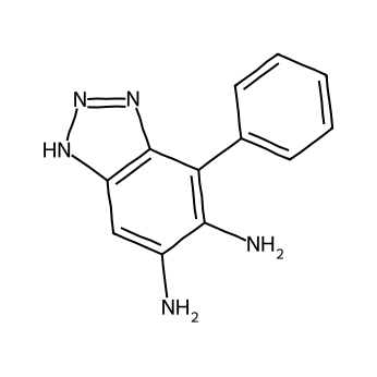 Nc1cc2[nH]nnc2c(-c2ccccc2)c1N